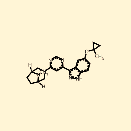 CN1[C@@H]2CC[C@H]1CN(c1cc(-c3n[nH]c4ccc(OC5(C)CC5)cc34)ncn1)C2